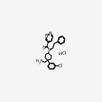 Cl.NCC1(c2cccc(Cl)c2)CCC(N(CCc2ccccc2)C(=O)c2ccnnc2)CC1